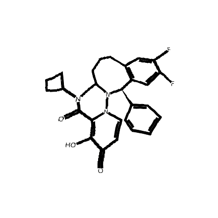 O=C1c2c(O)c(=O)ccn2N2C(CCCc3cc(F)c(F)cc3[C@H]2c2ccccc2)N1C1CCC1